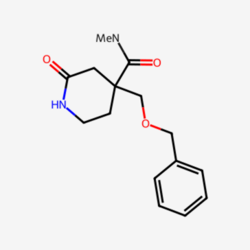 CNC(=O)C1(COCc2ccccc2)CCNC(=O)C1